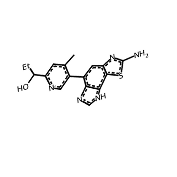 CCC(O)c1cc(C)c(-c2cc3nc(N)sc3c3[nH]cnc23)cn1